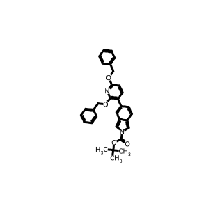 CC(C)(C)OC(=O)n1cc2ccc(-c3ccc(OCc4ccccc4)nc3OCc3ccccc3)cc2c1